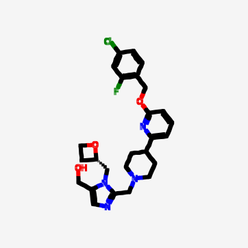 OCc1cnc(CN2CCC(c3cccc(OCc4ccc(Cl)cc4F)n3)CC2)n1C[C@@H]1CCO1